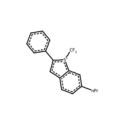 CCCc1ccc2cc(-c3ccccc3)[s+](C(F)(F)F)c2c1